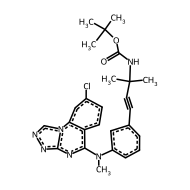 CN(c1cccc(C#CC(C)(C)NC(=O)OC(C)(C)C)c1)c1nc2nncn2c2cc(Cl)ccc12